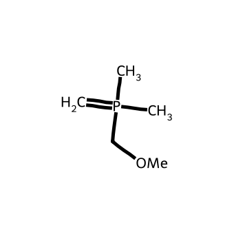 C=P(C)(C)COC